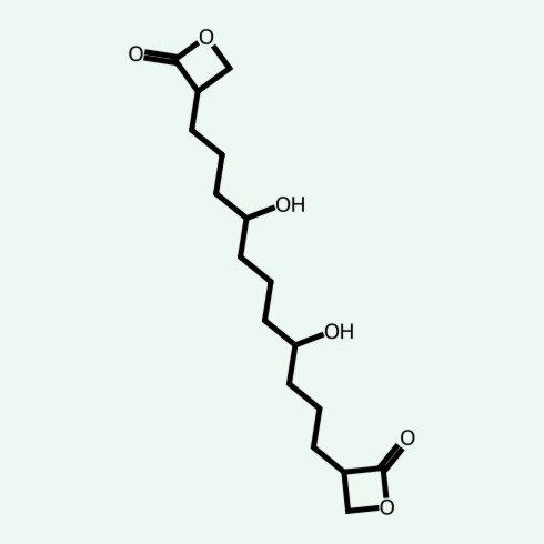 O=C1OCC1CCCC(O)CCCC(O)CCCC1COC1=O